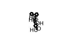 O=C(O)c1ccc(C=NNC(=S)Nc2ccccc2-c2ccccc2)c(O)c1